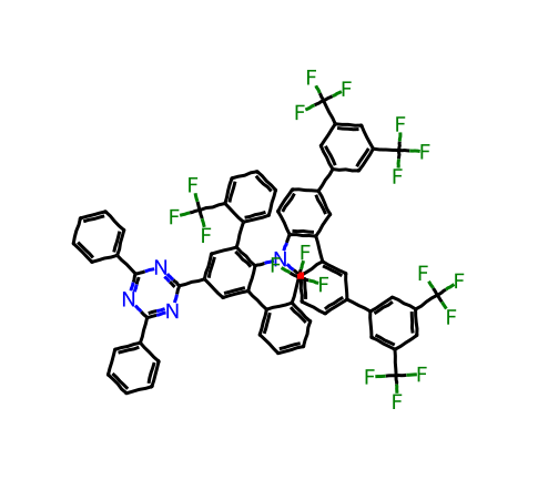 FC(F)(F)c1cc(-c2ccc3c(c2)c2cc(-c4cc(C(F)(F)F)cc(C(F)(F)F)c4)ccc2n3-c2c(-c3ccccc3C(F)(F)F)cc(-c3nc(-c4ccccc4)nc(-c4ccccc4)n3)cc2-c2ccccc2C(F)(F)F)cc(C(F)(F)F)c1